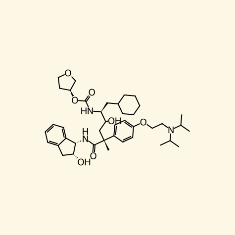 CC(C)N(CCOc1ccc([C@@](C)(C[C@H](O)[C@H](CC2CCCCC2)NC(=O)O[C@H]2CCOC2)C(=O)N[C@H]2c3ccccc3C[C@H]2O)cc1)C(C)C